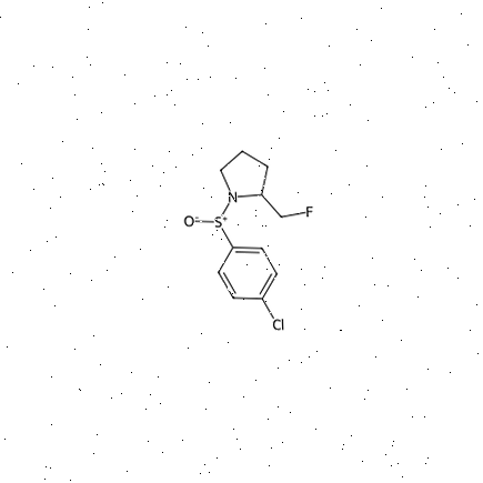 [O-][S+](c1ccc(Cl)cc1)N1CCCC1CF